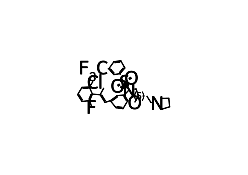 CC(=Cc1ccc2c(c1)N(S(=O)(=O)c1cccc(C(F)(F)F)c1)C[C@H](CCN1CCCC1)O2)c1c(F)cccc1Cl